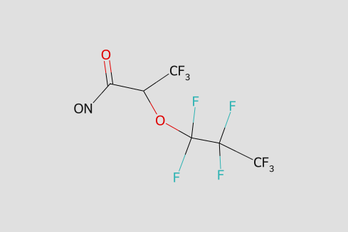 O=NC(=O)C(OC(F)(F)C(F)(F)C(F)(F)F)C(F)(F)F